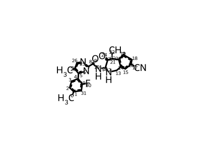 Cc1ccc(-c2nc(C(=O)N[C@@H]3NCc4cc(C#N)ccc4[C@H](C)C3=O)ncc2C)c(F)c1